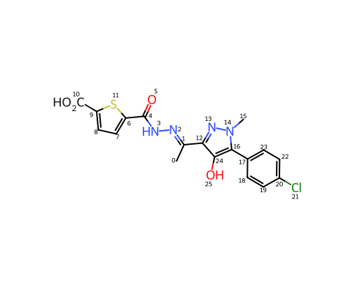 C/C(=N\NC(=O)c1ccc(C(=O)O)s1)c1nn(C)c(-c2ccc(Cl)cc2)c1O